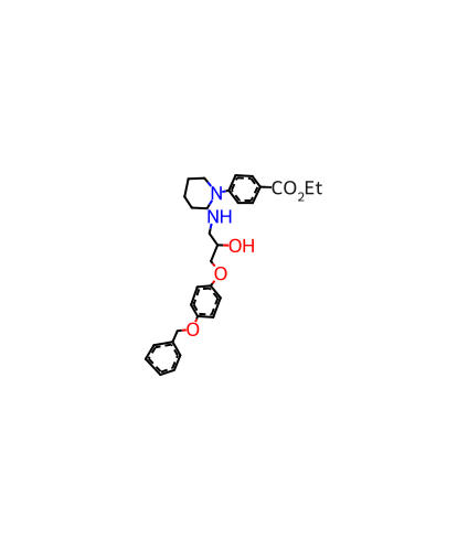 CCOC(=O)c1ccc(N2CCCCC2NCC(O)COc2ccc(OCc3ccccc3)cc2)cc1